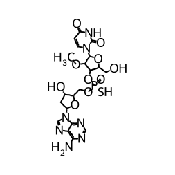 COC1C(OP(=O)(S)OCC2O[C@@H](n3cnc4c(N)ncnc43)C[C@H]2O)C(CO)OC1n1ccc(=O)[nH]c1=O